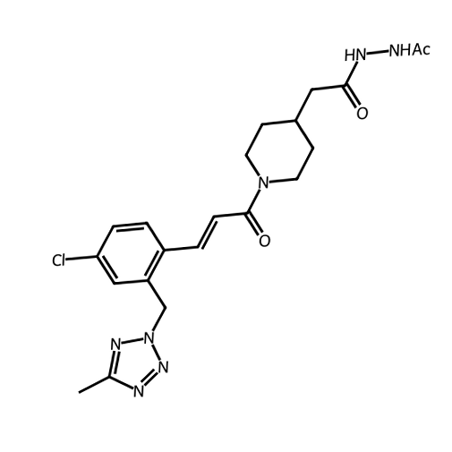 CC(=O)NNC(=O)CC1CCN(C(=O)C=Cc2ccc(Cl)cc2Cn2nnc(C)n2)CC1